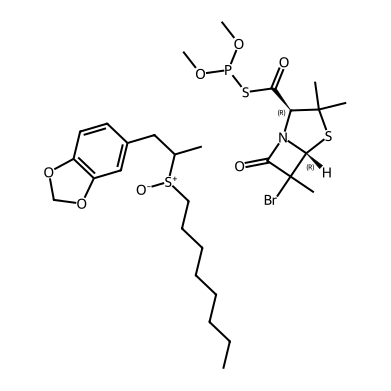 CCCCCCCC[S+]([O-])C(C)Cc1ccc2c(c1)OCO2.COP(OC)SC(=O)[C@@H]1N2C(=O)C(C)(Br)[C@H]2SC1(C)C